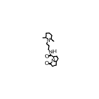 CC1CCCC(C)N1CCCNC(=O)C1CCC2CCC(=O)N21